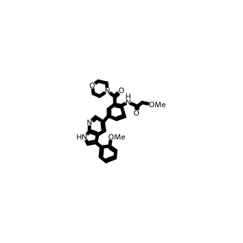 COCC(=O)Nc1ccc(-c2cnc3[nH]cc(-c4ccccc4OC)c3c2)cc1C(=O)N1CCOCC1